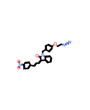 [N-]=[N+]=NCCOc1ccc(CN2C(=O)C(=C/C=C/c3ccc([N+](=O)[O-])cc3)c3ccccc32)cc1